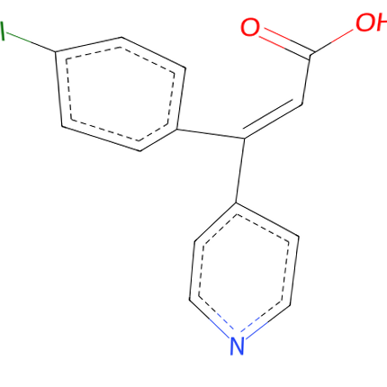 O=C(O)C=C(c1ccncc1)c1ccc(Cl)cc1